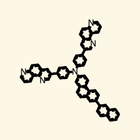 c1ccc2cc(-c3ccc4c(ccc5cc(N(c6ccc(-c7cnc8c(ccc9ncccc98)c7)cc6)c6ccc(-c7cnc8c(ccc9ncccc98)c7)cc6)ccc54)c3)ccc2c1